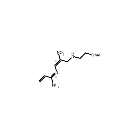 C=C/C(N)=N\C=C(/CNCCOC)[N+](=O)[O-]